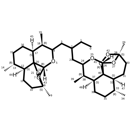 CCC(CC1O[C@@H]2O[C@]3(C)CC[C@H]4[C@H](C)CC[C@@H]([C@H]1C)C24OO3)CC1O[C@@H]2O[C@]3(C)CC[C@H]4[C@H](C)CC[C@@H]([C@H]1C)C24OO3